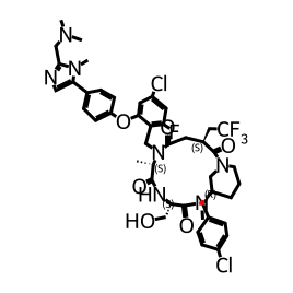 C[C@H]1C(=O)N[C@@H](CO)C(=O)N(C)[C@@]2(Cc3ccc(Cl)cc3)CCCN(C2)C(=O)[C@H](CC(F)(F)F)CC(=O)N1Cc1c(F)cc(Cl)cc1Oc1ccc(-c2cnc(CN(C)C)n2C)cc1